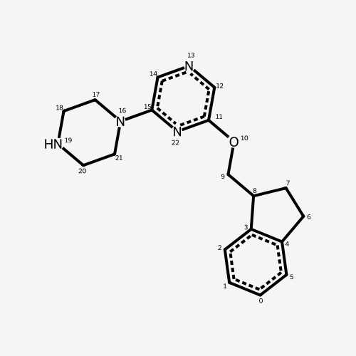 c1ccc2c(c1)CCC2COc1cncc(N2CCNCC2)n1